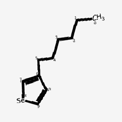 CCCCCCc1[c][se]cc1